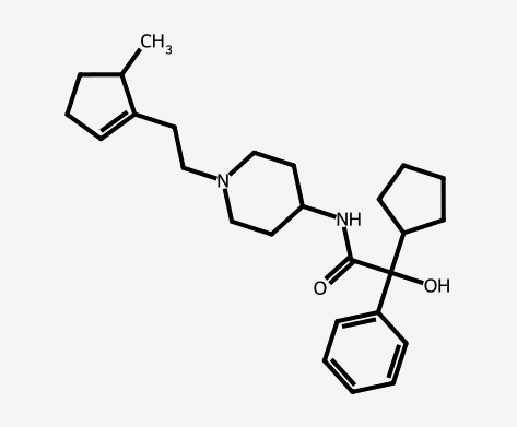 CC1CCC=C1CCN1CCC(NC(=O)C(O)(c2ccccc2)C2CCCC2)CC1